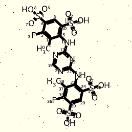 Cc1c(F)c(S(=O)(=O)O)cc(S(=O)(=O)O)c1Nc1ncnc(Nc2c(S(=O)(=O)O)cc(S(=O)(=O)O)c(F)c2C)n1